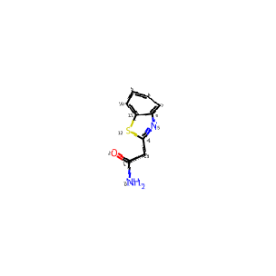 NC(=O)[CH]c1nc2ccccc2s1